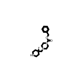 O=C(OCc1ccccc1)N1CCN(CC2(F)CCNCC2)CC1